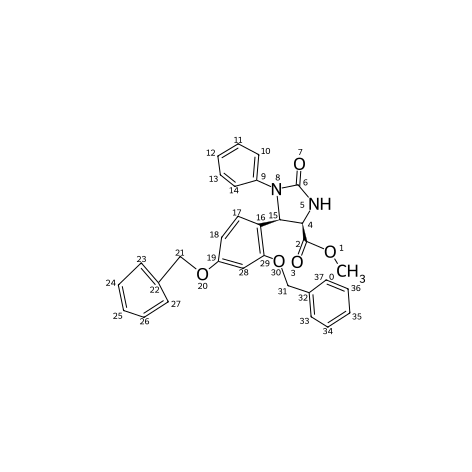 COC(=O)[C@@H]1NC(=O)N(c2ccccc2)[C@@H]1c1ccc(OCc2ccccc2)cc1OCc1ccccc1